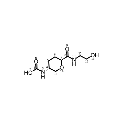 O=C(O)N[C@@H]1CC[C@@H](C(=O)NCCO)OC1